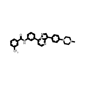 CN1CCN(c2ccc(-c3cnn4c(-c5cccc(NC(=O)c6cccc(C(F)(F)F)c6)c5)ccnc34)cc2)CC1